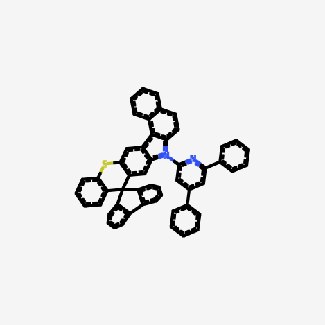 c1ccc(-c2cc(-c3ccccc3)nc(-n3c4cc5c(cc4c4c6ccccc6ccc43)Sc3ccccc3C53c4ccccc4-c4ccccc43)c2)cc1